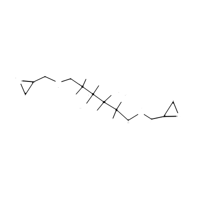 FC(F)(COCC1CO1)C(F)(F)C(F)(F)C(F)(F)COCC1CO1